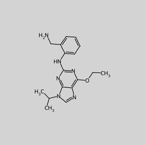 CCOc1nc(Nc2ccccc2CN)nc2c1ncn2C(C)C